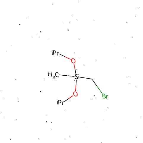 CC(C)O[Si](C)(CBr)OC(C)C